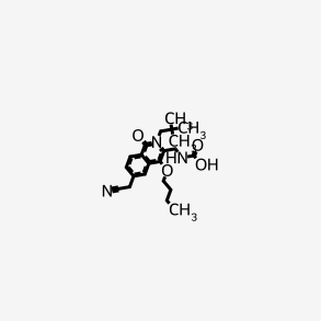 CCCCOc1c(CNC(=O)O)n(CC(C)(C)C)c(=O)c2ccc(CC#N)cc12